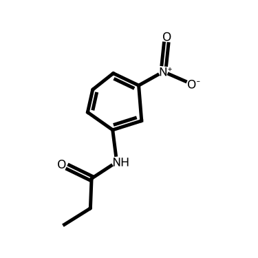 CCC(=O)Nc1cccc([N+](=O)[O-])c1